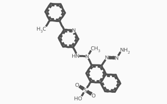 Cc1ccccc1-c1ccc(NN(C)c2cc(S(=O)(=O)O)c3ccccc3c2N=NN)cn1